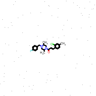 Cc1ccc(C=CC(=O)N2CC(C)N(Cc3ccc(F)cc3)CC2C)c(Cl)c1